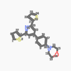 c1csc(-c2cc(-c3ccc(N4CCOCC4)cc3)cc(-c3cccs3)n2)c1